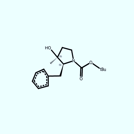 CC(C)(C)OC(=O)N1CC[C@](C)(O)[C@@H]1Cc1ccccc1